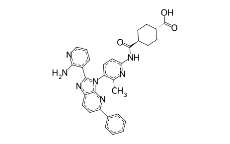 Cc1nc(NC(=O)[C@H]2CC[C@H](C(=O)O)CC2)ccc1-n1c(-c2cccnc2N)nc2ccc(-c3ccccc3)nc21